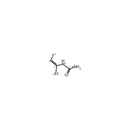 CC/C(=C/F)NC(N)=O